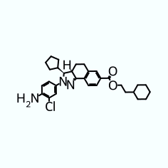 Nc1ccc(N2N=C3c4ccc(C(=O)OCCC5CCCCC5)cc4CC[C@@H]3[C@@H]2C2CCCC2)cc1Cl